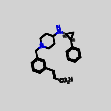 O=C(O)C=Cc1cccc(CN2CCC(N[C@@H]3C[C@H]3c3ccccc3)CC2)c1